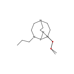 CCCN1CCN2CCN(CCC)P1N(CCC)CC2